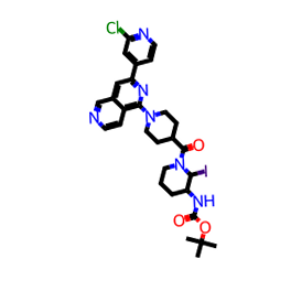 CC(C)(C)OC(=O)NC1CCCN(C(=O)C2CCN(c3nc(-c4ccnc(Cl)c4)cc4cnccc34)CC2)C1I